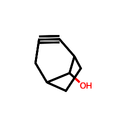 OC1C2C#CCC1CC2